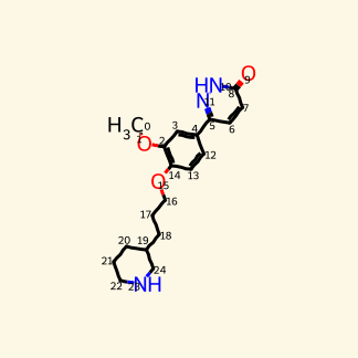 COc1cc(-c2ccc(=O)[nH]n2)ccc1OCCCC1CCCNC1